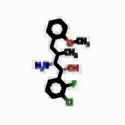 COc1ccccc1CC(C)[C@@H](N)[C@H](O)c1cccc(Cl)c1F